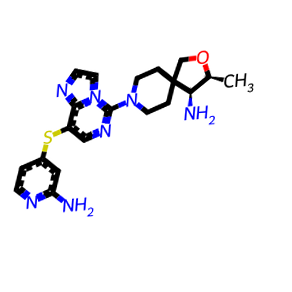 C[C@@H]1OCC2(CCN(c3ncc(Sc4ccnc(N)c4)c4nccn34)CC2)[C@@H]1N